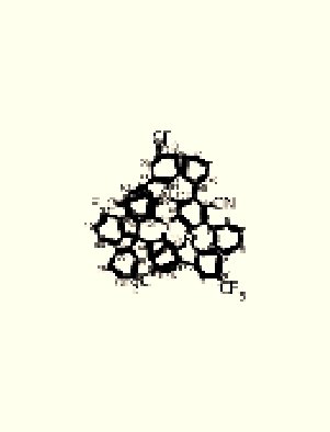 N#Cc1c(-c2ccccc2)c(-n2c3ccc(C(F)(F)F)cc3c3cc(C(F)(F)F)ccc32)c(N2c3ccccc3C(c3ccccc3)(c3ccccc3)c3ccccc32)c(-n2c3ccc(C(F)(F)F)cc3c3cc(C(F)(F)F)ccc32)c1-c1ccccc1